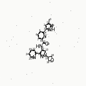 Cc1cc(-c2cccc(C(=O)Nc3cn(C4COC4)nc3-c3ccccn3)n2)[nH]n1